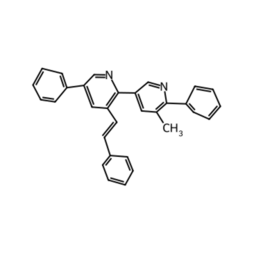 Cc1cc(-c2ncc(-c3ccccc3)cc2/C=C/c2ccccc2)cnc1-c1ccccc1